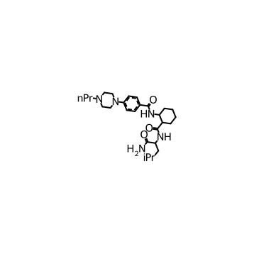 CCCN1CCN(c2ccc(C(=O)NC3CCCCC3C(=O)NC(CC(C)C)C(N)=O)cc2)CC1